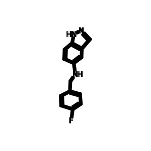 Fc1ccc(CNc2ccc3[nH]ncc3c2)cc1